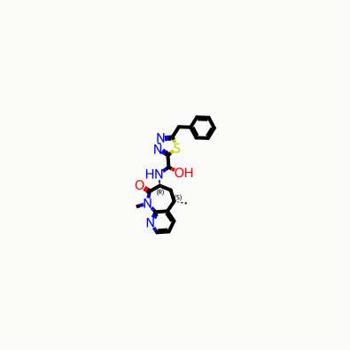 C[C@H]1C[C@@H](NC(O)c2nnc(Cc3ccccc3)s2)C(=O)N(C)c2ncccc21